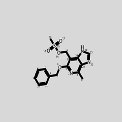 Cc1nc(OCc2ccccc2)c(COS(C)(=O)=O)c2[nH]cnc12